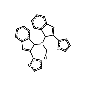 Cl[CH2][Ti]([CH]1C(c2ccco2)=Cc2ccccc21)[CH]1C(c2ccco2)=Cc2ccccc21